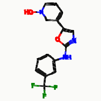 ON1C=CC=C(c2cnc(Nc3cccc(C(F)(F)F)c3)o2)C1